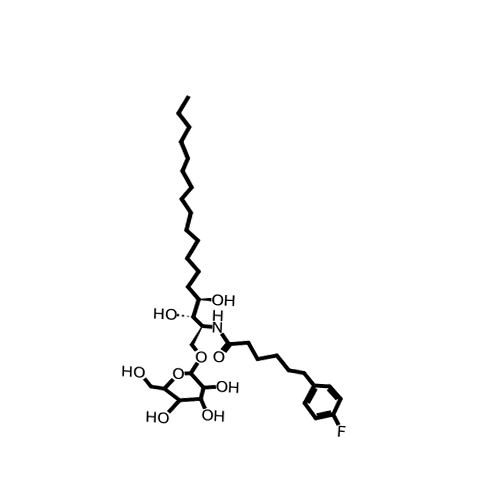 CCCCCCCCCCCCCC[C@@H](O)[C@@H](O)[C@H](COC1OC(CO)C(O)C(O)C1O)NC(=O)CCCCCc1ccc(F)cc1